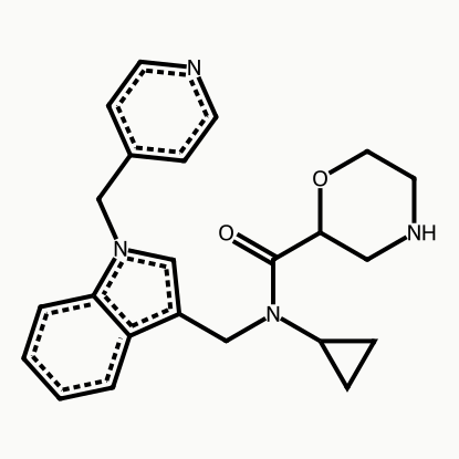 O=C(C1CNCCO1)N(Cc1cn(Cc2ccncc2)c2ccccc12)C1CC1